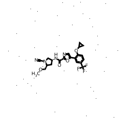 COCC1C[C@@H](NC(=O)c2ncc(-c3cc(C(F)(F)F)ccc3OC3CC3)o2)CN1C#N